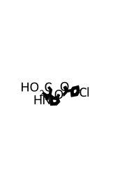 Cc1[nH]c2cccc(OCC(=O)c3ccc(Cl)cc3)c2c1CC(=O)O